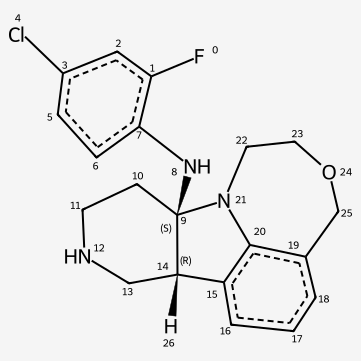 Fc1cc(Cl)ccc1N[C@]12CCNC[C@H]1c1cccc3c1N2CCOC3